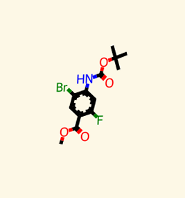 COC(=O)c1cc(Br)c(NC(=O)OC(C)(C)C)cc1F